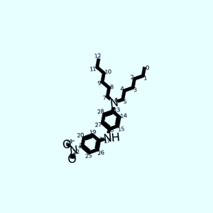 CCCCCCN(CCCCCC)c1ccc(Nc2ccc([N+](=O)[O-])cc2)cc1